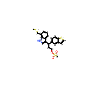 CSCc1cccc2c(C(CCOS(C)(=O)=O)c3ccc4sccc4c3)c[nH]c12